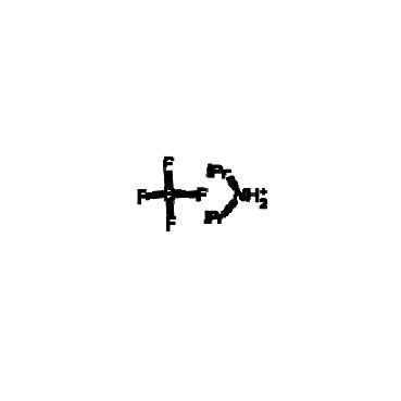 CC(C)[NH2+]C(C)C.F[B-](F)(F)F